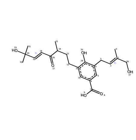 C/C(=C\Cc1cc(C(=O)O)cc(CCC(C)C(=O)/C=C/C(C)(C)O)c1O)CO